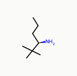 CCC[C@@H](N)C(C)(C)C